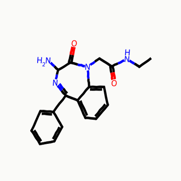 CCNC(=O)CN1C(=O)C(N)N=C(c2ccccc2)c2ccccc21